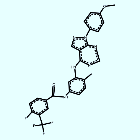 COc1ccc(-n2ncc3c(Nc4cc(NC(=O)c5ccc(F)c(C(F)(F)F)c5)ccc4C)ncnc32)cc1